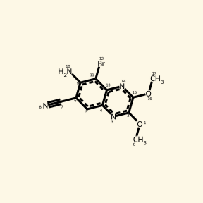 COc1nc2cc(C#N)c(N)c(Br)c2nc1OC